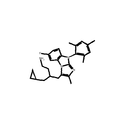 Cc1cc(C)c(-n2c3ccc(F)cc3n3c(CC(CCN)CC4CC4)c(C)nc23)c(C)c1